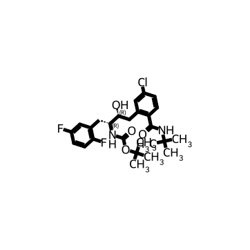 CC(C)(C)NC(=O)c1ccc(Cl)cc1C[C@@H](O)[C@@H](Cc1cc(F)ccc1F)NC(=O)OC(C)(C)C